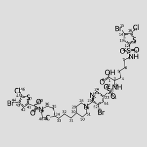 O=C(O)C(CCCCNS(=O)(=O)c1cc(Br)c(Cl)s1)NS(=O)(=O)c1cnc(N2CCC(CCCC3CCN(S(=O)(=O)c4cc(Br)c(Cl)s4)CC3)CC2)c(Br)c1